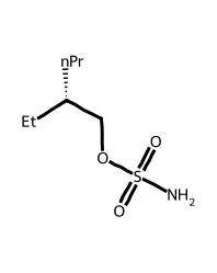 CCC[C@@H](CC)COS(N)(=O)=O